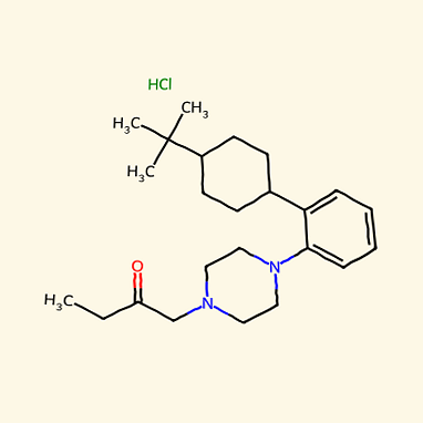 CCC(=O)CN1CCN(c2ccccc2C2CCC(C(C)(C)C)CC2)CC1.Cl